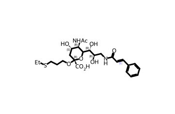 CCSCCCO[C@]1(C(=O)O)C[C@H](O)[C@@H](NC(C)=O)C([C@H](O)[C@H](O)CNC(=O)/C=C/c2ccccc2)O1